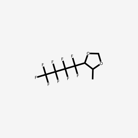 CC1OCOC1C(F)(F)C(F)(F)C(F)(F)C(F)(F)F